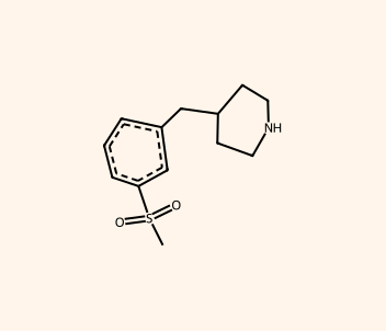 CS(=O)(=O)c1cccc(CC2CCNCC2)c1